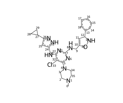 CN1CCN(c2nc(NCC3=CC(c4ccccc4)NO3)nc(Nc3cc(C4CC4)n[nH]3)c2Cl)CC1